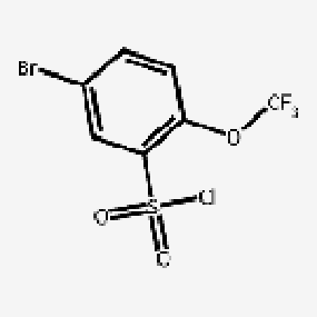 O=S(=O)(Cl)c1cc(Br)ccc1OC(F)(F)F